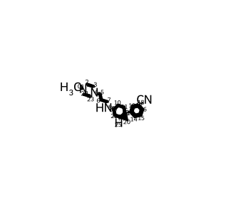 CN1CCN(CCCN[C@@H]2CC[C@]3(c4cccc(C#N)c4)C[C@@H]3C2)CC1